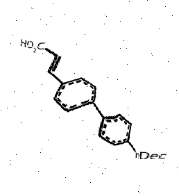 CCCCCCCCCCc1ccc(-c2ccc(C=CC(=O)O)cc2)cc1